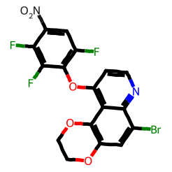 O=[N+]([O-])c1cc(F)c(Oc2ccnc3c(Br)cc4c(c23)OCCO4)c(F)c1F